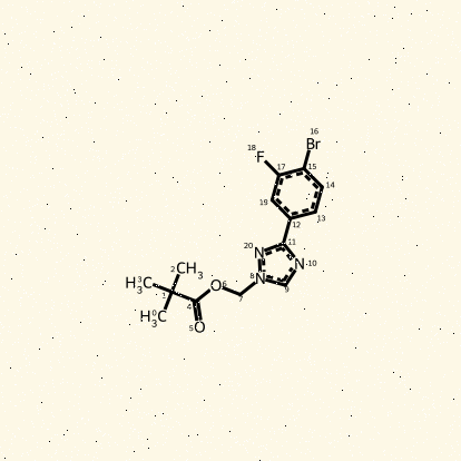 CC(C)(C)C(=O)OCn1cnc(-c2ccc(Br)c(F)c2)n1